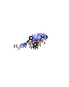 [2H]c1c([2H])c([2H])c(-n2c(C(C)NC(=O)c3c(N)nn4cccnc34)nc3cccc(C#Cc4cnn(C)c4)c3c2=O)c([2H])c1[2H]